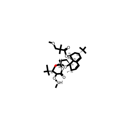 COCC(C)(C)C(=O)O[C@H]1C[C@H](C(C)(C)C)C=C2C=C[C@H](C)[C@](CC[C@@H]3C[C@H](C(C)(C)C)C(O[SiH](C)C)C(=O)O3)(O[SiH](C)C)[C@H]21